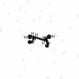 CC1(C)CC(Nc2nc(N=CC(=O)N3CCCCC3)nc(NCCCCCCNc3nc(N=CC(=O)N4CCCCC4)nc(NC4CC(C)(C)N(O)C(C)(C)C4)n3)n2)CC(C)(C)N1O